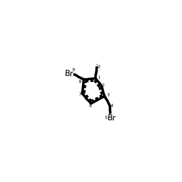 [CH2]c1cc(CBr)ccc1Br